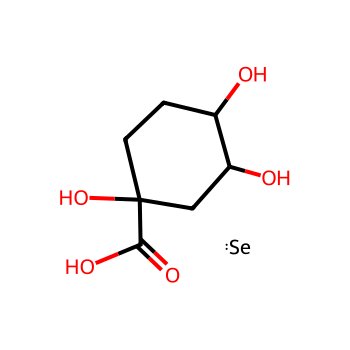 O=C(O)C1(O)CCC(O)C(O)C1.[Se]